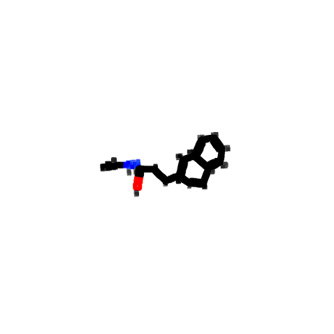 CCCCNC(=O)CCc1ccc2ccccc2c1